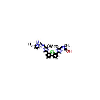 C=C1CC[C@@H](CN(C)Cc2ncc(-c3cccc(-c4cccc(-c5cnc(CN(C)CCO)c(OC)n5)c4Cl)c3Cl)nc2OC)N1